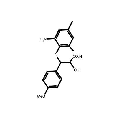 COc1ccc(C(Sc2c(C)cc(C)cc2N)C(O)C(=O)O)cc1